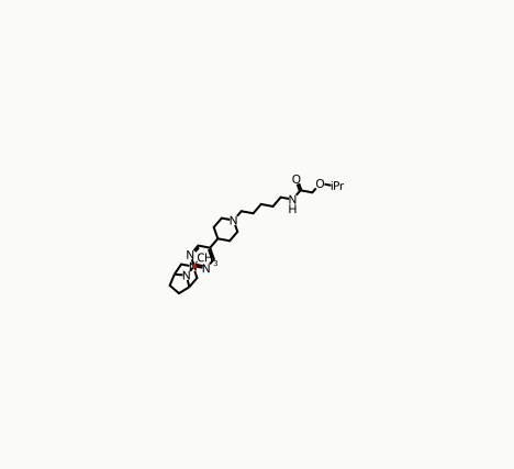 CC(C)OCC(=O)NCCCCCN1CCC(c2cnc(N3C4CCC3CN(C)C4)nc2)CC1